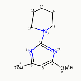 COc1cc(C(C)(C)C)nc(N2CCCCC2)n1